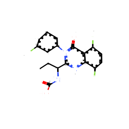 CCC(NC(=O)O)c1nc2c(F)ccc(F)c2c(=O)n1-c1cccc(F)c1